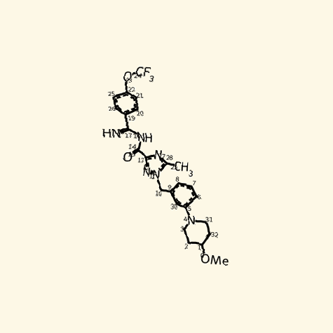 COC1CCN(c2cccc(Cn3nc(C(=O)NC(=N)c4ccc(OC(F)(F)F)cc4)nc3C)c2)CC1